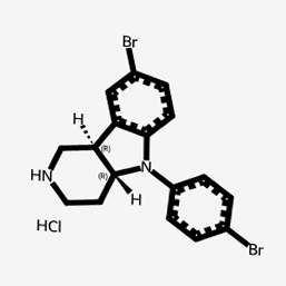 Brc1ccc(N2c3ccc(Br)cc3[C@@H]3CNCC[C@H]32)cc1.Cl